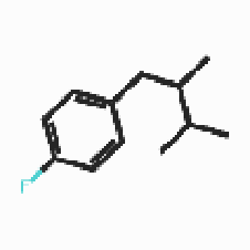 CC(C)C(C)Cc1ccc(F)cc1